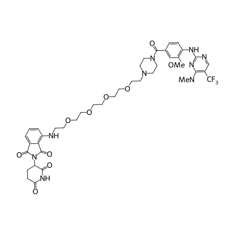 CNc1nc(Nc2ccc(C(=O)N3CCN(CCOCCOCCOCCOCCNc4cccc5c4C(=O)N(C4CCC(=O)NC4=O)C5=O)CC3)cc2OC)ncc1C(F)(F)F